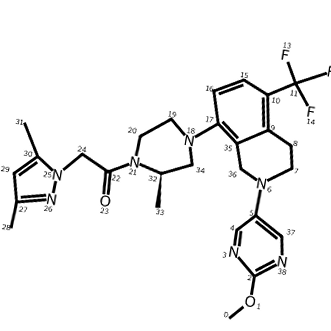 COc1ncc(N2CCc3c(C(F)(F)F)ccc(N4CCN(C(=O)Cn5nc(C)cc5C)[C@H](C)C4)c3C2)cn1